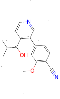 COc1cc(-c2cnccc2C(O)C(C)C)ccc1C#N